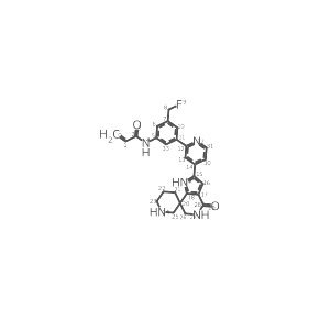 C=CC(=O)Nc1cc(CF)cc(-c2cc(-c3cc4c([nH]3)C3(CCCNC3)CNC4=O)ccn2)c1